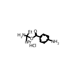 CCCC(N)(CC)OC(=O)c1ccc(N)cc1.Cl